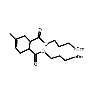 CCCCCCCCCCCCCOC(=O)C1CC=C(C)CC1C(=O)OCCCCCCCCCCCCC